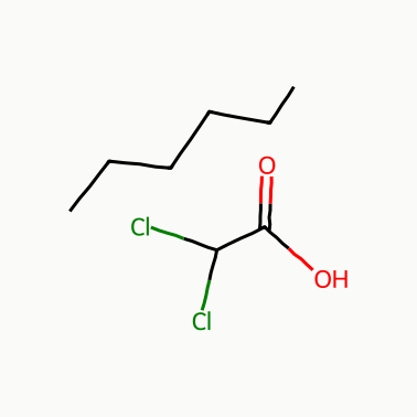 CCCCCC.O=C(O)C(Cl)Cl